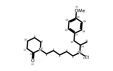 CCN(CCCCCN1CCCCC1=O)C(C)Cc1ccc(OC)cc1